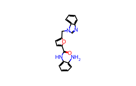 Nc1ccccc1NC(=O)c1ccc(Cn2cnc3ccccc32)o1